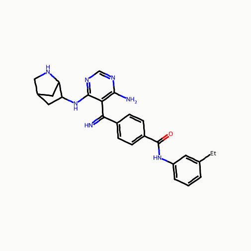 CCc1cccc(NC(=O)c2ccc(C(=N)c3c(N)ncnc3NC3CC4CNC3C4)cc2)c1